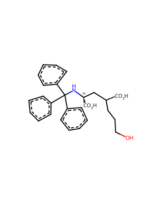 O=C(O)C(CCCO)C[C@H](NC(c1ccccc1)(c1ccccc1)c1ccccc1)C(=O)O